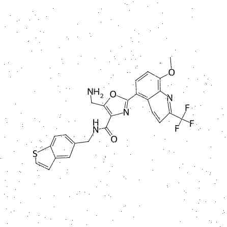 COc1ccc(-c2nc(C(=O)NCc3ccc4sccc4c3)c(CN)o2)c2ccc(C(F)(F)F)nc12